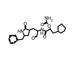 NC(=O)OC(CC1CCCCC1)C(=O)NC(C=O)CC1CC(Cc2ccccc2)NC1=O